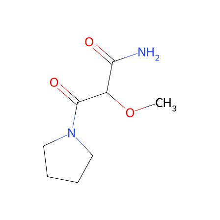 COC(C(N)=O)C(=O)N1CCCC1